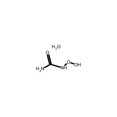 NC(=O)NOO.O